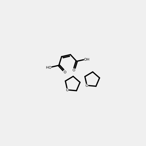 C1CCOC1.C1CCOC1.O=C(O)/C=C\C(=O)O